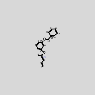 C=C/C=C(\C)Sc1cccc(OCc2ccccc2)c1